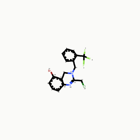 FC(F)(F)c1ccccc1CN1Cc2c(Br)cccc2N=C1CCl